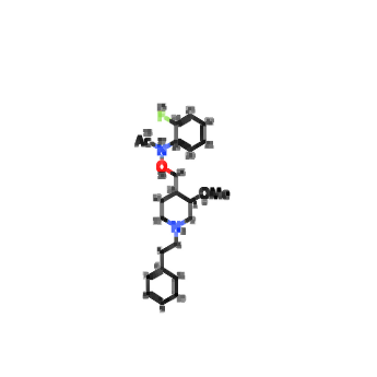 COC1CN(CCc2ccccc2)CCC1CON(C(C)=O)c1ccccc1F